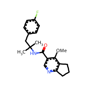 COc1c(C(=O)NC(C)(C)Cc2ccc(F)cc2)cnc2c1CCC2